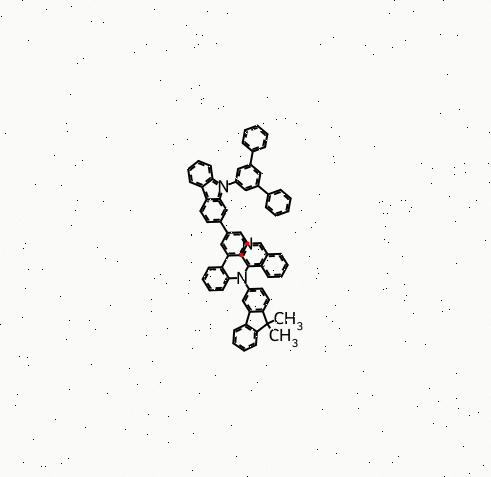 CC1(C)c2ccccc2-c2cc(N(c3ccccc3-c3cccc(-c4ccc5c6ccccc6n(-c6cc(-c7ccccc7)cc(-c7ccccc7)c6)c5c4)c3)c3cncc4ccccc34)ccc21